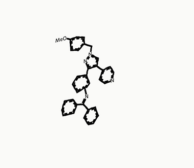 COc1ccc(Cn2cc(-c3ccncc3)c(-c3cccc(N=C(c4ccccc4)c4ccccc4)c3)n2)cc1